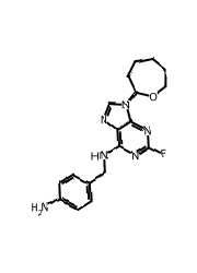 Nc1ccc(CNc2nc(F)nc3c2ncn3C2CCCCCO2)cc1